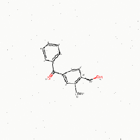 COc1cc(C(=O)c2ccccc2)ccc1CO